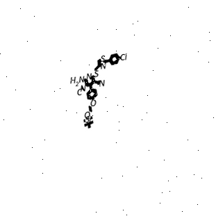 [C-]#[N+]c1c(N)nc(SCc2csc(-c3ccc(Cl)cc3)n2)c(C#N)c1-c1ccc(OCCO[Si](C)(C)C(C)(C)C)cc1